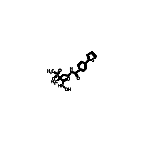 CC(CCNC(=O)c1ccc(-c2cccs2)cc1)(C(=O)NO)S(C)(=O)=O